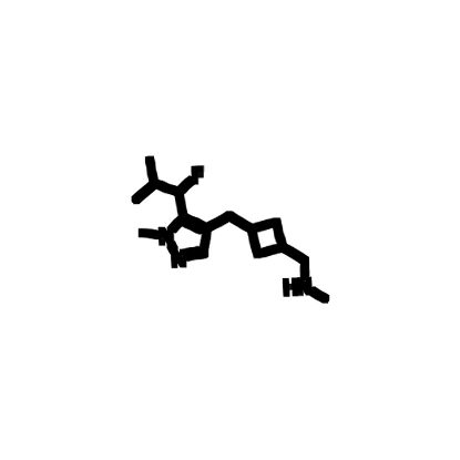 CNCC1CC(Cc2cnn(C)c2C(F)C(C)C)C1